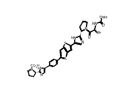 COC(=O)NC(C(=O)N1CCC[C@H]1c1ncc(-c2cc3sc(-c4ccc(-c5cnc([C@@H]6CCCN6C(=O)O)[nH]5)cc4)cc3s2)[nH]1)C(C)C